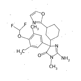 Cc1cc(C2(C3CCCC(c4ncco4)C3)N=C(N)N(C)C2=O)cc(C)c1OC(F)F